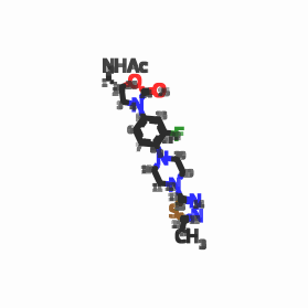 CC(=O)NC[C@H]1CN(c2ccc(N3CCN(c4nnc(C)s4)CC3)c(F)c2)C(=O)O1